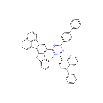 C[N+]1=C(c2cc3c(c4oc5ccccc5c24)-c2cccc4cccc-3c24)NC(c2ccc(-c3ccccc3)cc2)N=C1c1ccc(-c2ccccc2)c2ccccc12